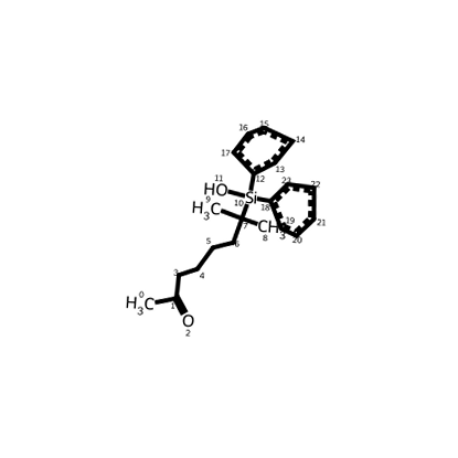 CC(=O)CCCCC(C)(C)[Si](O)(c1ccccc1)c1ccccc1